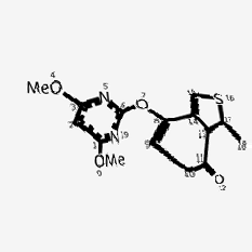 COc1cc(OC)nc(OC2=CCC(=O)C3C2=CSC3C)n1